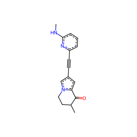 CNc1cccc(C#Cc2cc3n(c2)CCC(C)C3=O)n1